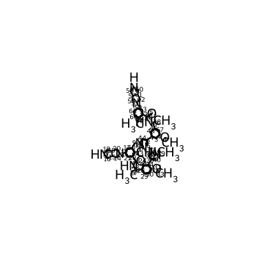 COc1cc(-c2cnn(Cc3cc(N4CC5CNCC5C4)cc(C(=O)N[C@H](C)c4ccc(OC)c(-c5cnn(C)c5)c4)c3C)c2)cc([C@@H](C)NC(=O)c2cc(N3CC4CNCC4C3)ccc2C)c1